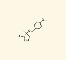 CCC(C)(SCc1ccc(OC)cc1)C(=O)O